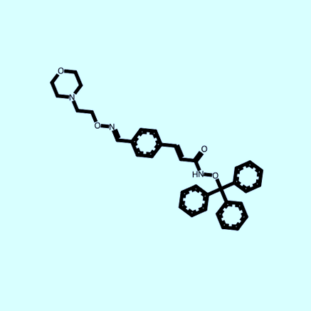 O=C(C=Cc1ccc(C=NOCCN2CCOCC2)cc1)NOC(c1ccccc1)(c1ccccc1)c1ccccc1